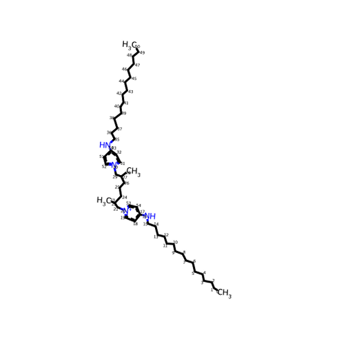 CCCCCCCCCCCCCCCCNc1cc[n+](CC(C)CCCC(C)C[n+]2ccc(NCCCCCCCCCCCCCCCC)cc2)cc1